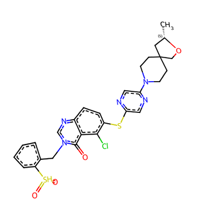 C[C@H]1CC2(CCN(c3cnc(Sc4ccc5ncn(Cc6ccccc6[SH](=O)=O)c(=O)c5c4Cl)cn3)CC2)CO1